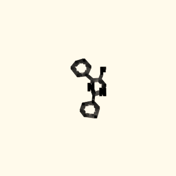 Fc1cnc(-c2ccccc2)nc1-c1ccccc1